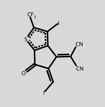 N#CC(C#N)=C1/C(=C/I)C(=O)c2sc(C(F)(F)F)c(I)c21